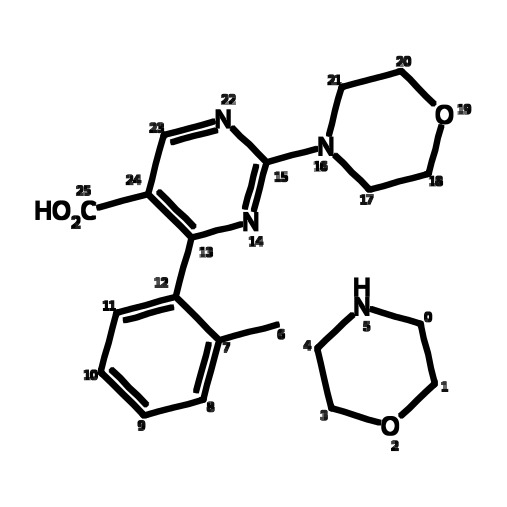 C1COCCN1.Cc1ccccc1-c1nc(N2CCOCC2)ncc1C(=O)O